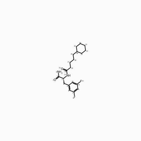 NC(=O)[C@H](Cc1cc(F)cc(F)c1)NC(=O)CCCCC1CCCCC1